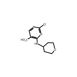 O=C(O)c1cnc(Cl)nc1NC1CCOCC1